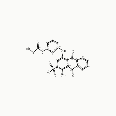 Nc1c(S(=O)(=O)O)cc(Nc2cccc(NC(=O)CO)c2)c2c1C(=O)c1ccccc1C2=O